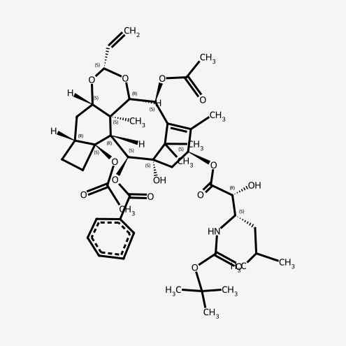 C=C[C@H]1O[C@H]2C[C@H]3CC[C@@]3(OC(C)=O)[C@H]3[C@H](OC(=O)c4ccccc4)[C@]4(O)C[C@H](OC(=O)[C@H](O)[C@H](CC(C)C)NC(=O)OC(C)(C)C)C(C)=C([C@H](OC(C)=O)[C@H](O1)[C@]23C)C4(C)C